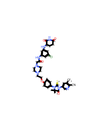 CC1(C)C(=O)N(c2cnc(C#N)c(C(F)(F)F)c2)C(=S)N1c1ccc(OCCN2CCN(CC(=O)Nc3cc(Cl)cc(NC4CCC(=O)NC4=O)c3)CC2)cc1